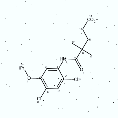 CC(C)Oc1cc(NC(=O)C(C)(C)CCC(=O)O)c(Cl)cc1Cl